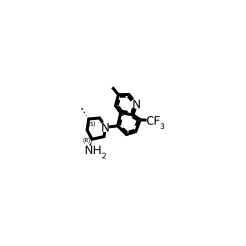 Cc1cnc2c(C(F)(F)F)ccc(N3C[C@@H](C)C[C@@H](N)C3)c2c1